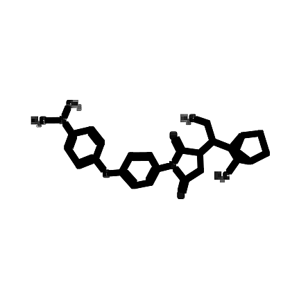 CCC(C1CC(=O)N(c2ccc(Oc3ccc(N(C)C)cc3)cc2)C1=O)C1C2CCC(C2)C1C